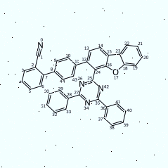 N#Cc1ccccc1-c1ccc(-c2ccc3c(oc4ccccc43)c2-c2nc(-c3ccccc3)nc(-c3ccccc3)n2)cc1